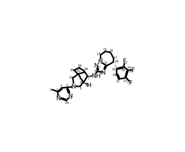 Cc1cc(N2C[C@H]3[C@H](Nc4nc5n(n4)CCCC[C@@H]5c4ccc(F)c(F)c4F)C4CCC43C2)ncn1